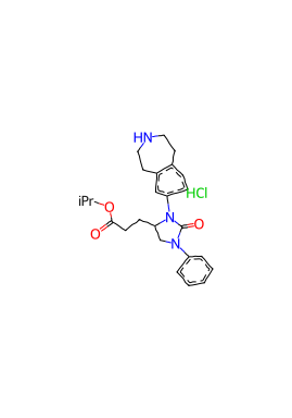 CC(C)OC(=O)CCC1CN(c2ccccc2)C(=O)N1c1ccc2c(c1)CCNCC2.Cl